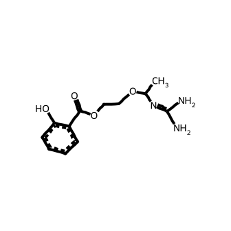 CC(N=C(N)N)OCCOC(=O)c1ccccc1O